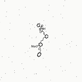 COc1cc(C=CCc2ccccc2C=CC(=O)NS(=O)(=O)c2cccs2)ccc1OCc1ccccc1